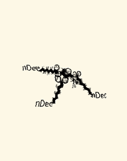 CCCCCCCCCCCCCCCCCC(=O)O[C@H]1[C@@H]([C@@H](C[N+](C)(C)C)OC(=O)CCCCCCCCCCCCCCCCC)OC[C@@H]1OC(=O)CCCCCCCCCCCCCCCCC